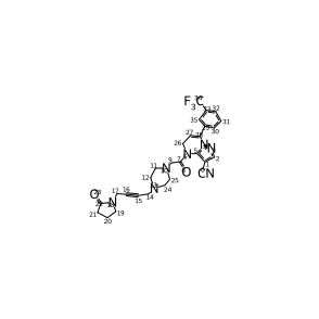 N#Cc1cnn2c1N(C(=O)CN1CCN(CC#CCN3CCCC3=O)CC1)CC=C2c1cccc(C(F)(F)F)c1